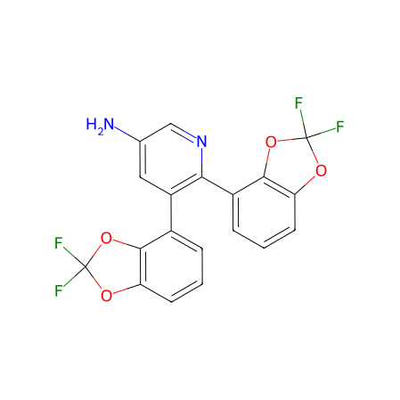 Nc1cnc(-c2cccc3c2OC(F)(F)O3)c(-c2cccc3c2OC(F)(F)O3)c1